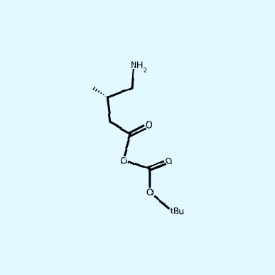 C[C@H](CN)CC(=O)OC(=O)OC(C)(C)C